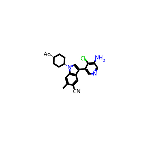 Cc1cc2c(cc1C#N)c(-c1cncc(N)c1Cl)cn2[C@H]1CC[C@@H](C(C)=O)CC1